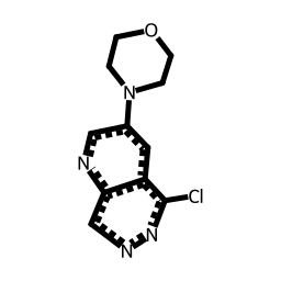 Clc1nncc2ncc(N3CCOCC3)cc12